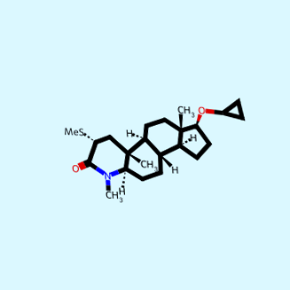 CS[C@@H]1C[C@]2(C)[C@H]3CC[C@]4(C)[C@@H](OC5CC5)CC[C@H]4[C@@H]3CC[C@H]2N(C)C1=O